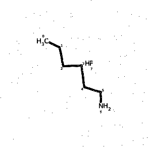 CCCCCCN.F